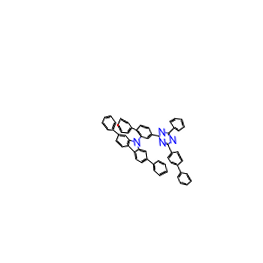 c1ccc(-c2ccc(-c3nc(-c4ccccc4)nc(-c4ccc(-c5ccccc5)c(-n5c6cc(-c7ccccc7)ccc6c6ccc(-c7ccccc7)cc65)c4)n3)cc2)cc1